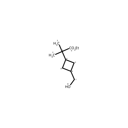 CCOC(=O)C(C)(C)C1CC(CO)C1